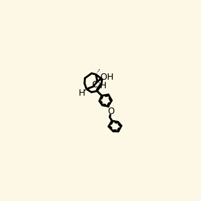 C[C@@]12CC=C(c3ccc(OCc4ccccc4)cc3)C[C@@H](CCC1)CC[C@@H]2O